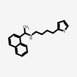 CC(NCCCCc1cccs1)c1cccc2ccccc12